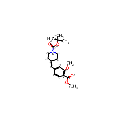 COC(=O)c1ccc(C=C2CCN(C(=O)OC(C)(C)C)CC2)cc1OC